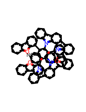 N#Cc1c(-c2cccc3c2oc2ccccc23)c(-n2c3ccccc3c3ccc4c5ccccc5n(-c5ccccc5)c4c32)c(-c2cccc3c2oc2ccccc23)c(-n2c3ccccc3c3ccc4c5ccccc5n(-c5ccccc5)c4c32)c1-c1cccc2c1oc1ccccc12